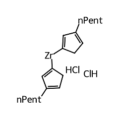 CCCCCC1=CC[C]([Zr][C]2=CC(CCCCC)=CC2)=C1.Cl.Cl